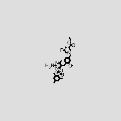 CCOC(=O)CCN(Cc1ccc(Cc2c(C)nc(N)nc2OS(=O)(=O)c2c(C)cc(C)cc2C)c(OC)c1)CC(F)F